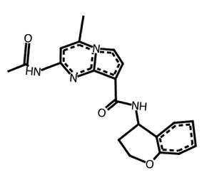 CC(=O)Nc1cc(C)n2ccc(C(=O)NC3CCOc4ccccc43)c2n1